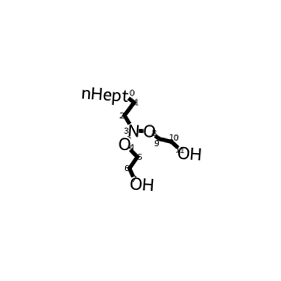 CCCCCCCCCN(OCCO)OCCO